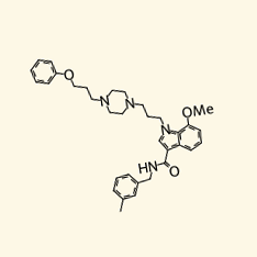 COc1cccc2c(C(=O)NCc3cccc(C)c3)cn(CCCN3CCN(CCCOc4ccccc4)CC3)c12